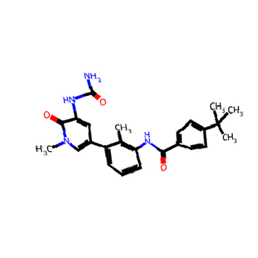 Cc1c(NC(=O)c2ccc(C(C)(C)C)cc2)cccc1-c1cc(NC(N)=O)c(=O)n(C)c1